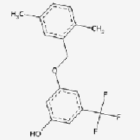 Cc1ccc(C)c(COc2cc(O)cc(C(F)(F)F)c2)c1